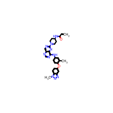 C=CC(=O)NC1CCN(c2ncc3ncnc(Nc4ccc(Oc5ccc6c(c5)nnn6C)c(C)c4)c3n2)CC1